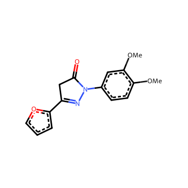 COc1ccc(N2N=C(c3ccco3)CC2=O)cc1OC